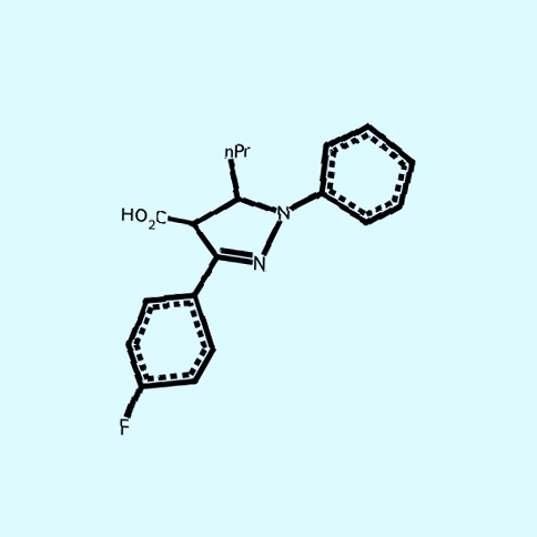 CCCC1C(C(=O)O)C(c2ccc(F)cc2)=NN1c1ccccc1